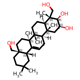 CC1(C)CC[C@]2(CO)CC[C@]3(C)C(=CC[C@@H]4[C@@]5(C)C[C@H](O)[C@H](O)[C@@](C)(CO)[C@@H]5CC[C@]43C)[C@@H]2C1